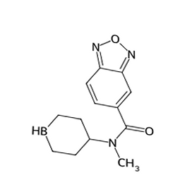 CN(C(=O)c1ccc2nonc2c1)C1CCBCC1